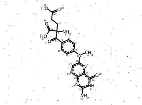 CN(c1ccc(C(=O)C(N)(CCC(=O)O)C(=O)O)cc1)c1cnc2nc(N)[nH]c(=O)c2n1